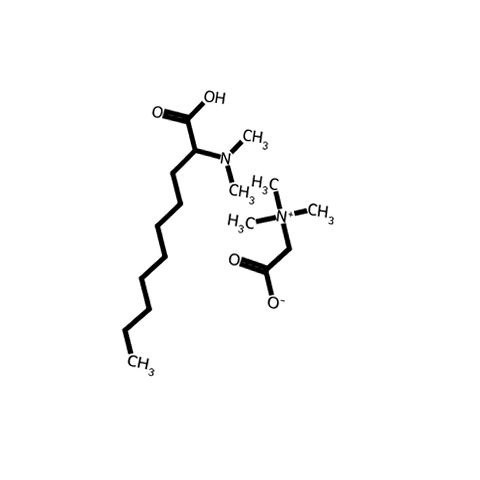 CCCCCCCCC(C(=O)O)N(C)C.C[N+](C)(C)CC(=O)[O-]